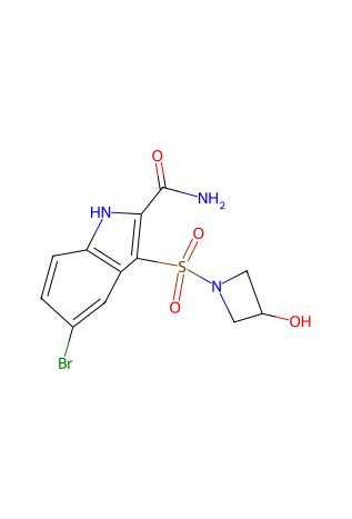 NC(=O)c1[nH]c2ccc(Br)cc2c1S(=O)(=O)N1CC(O)C1